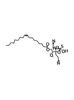 CCCCCCCC/C=C\CCCCCCCC(=O)OCC(OC)C(CCC#N)(CCC#N)OP(O)(O)=S